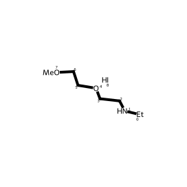 CCNCCOCCOC.I